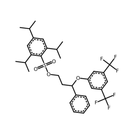 CC(C)c1cc(C(C)C)c(S(=O)(=O)OCCC(Oc2cc(C(F)(F)F)cc(C(F)(F)F)c2)c2ccccc2)c(C(C)C)c1